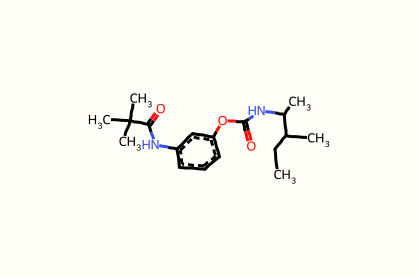 CCC(C)C(C)NC(=O)Oc1cccc(NC(=O)C(C)(C)C)c1